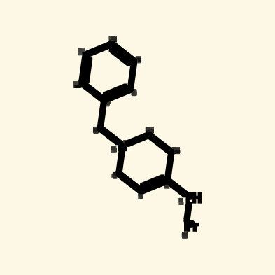 CC(C)PC1=CCN(Cc2ccccc2)CC1